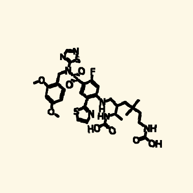 COc1ccc(CN(c2ncns2)S(=O)(=O)c2cc(-c3nccs3)c(NCC(CC(C)(C)CCNC(=O)O)C(C)NC(=O)O)cc2F)c(OC)c1